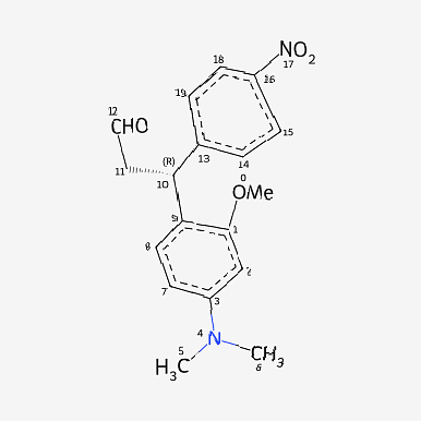 COc1cc(N(C)C)ccc1[C@H](CC=O)c1ccc([N+](=O)[O-])cc1